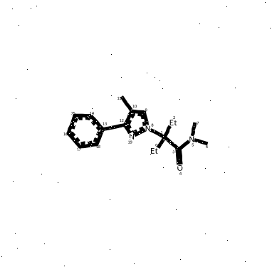 CCC(CC)(C(=O)N(C)C)n1cc(C)c(-c2ccccc2)n1